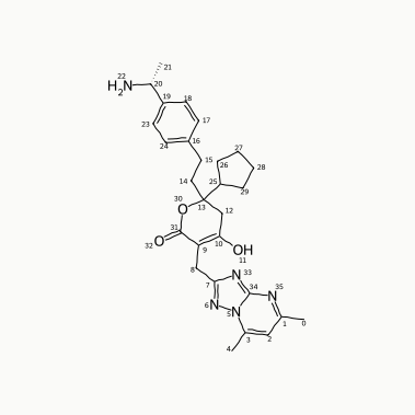 Cc1cc(C)n2nc(CC3=C(O)CC(CCc4ccc([C@@H](C)N)cc4)(C4CCCC4)OC3=O)nc2n1